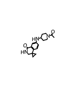 CC(=O)N1CCC(Nc2ccc3c(c2)C(=O)NCC32CC2)CC1